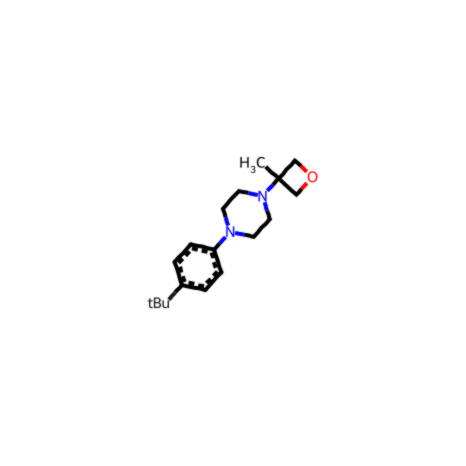 CC(C)(C)c1ccc(N2CCN(C3(C)COC3)CC2)cc1